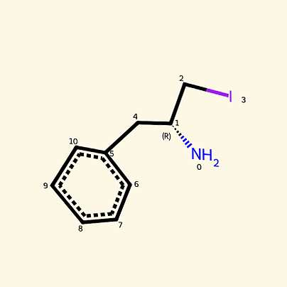 N[C@@H](CI)Cc1ccccc1